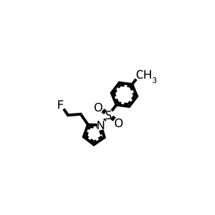 Cc1ccc(S(=O)(=O)n2cccc2CCF)cc1